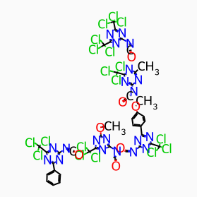 COc1ccc(-c2nc(N=C=O)nc(C(Cl)(Cl)Cl)n2)cc1.COc1nc(N=C=O)nc(C(Cl)(Cl)Cl)n1.Cc1nc(N=C=O)nc(C(Cl)(Cl)Cl)n1.O=C=Nc1nc(-c2ccccc2)nc(C(Cl)(Cl)Cl)n1.O=C=Nc1nc(C(Cl)(Cl)Cl)nc(C(Cl)(Cl)Cl)n1